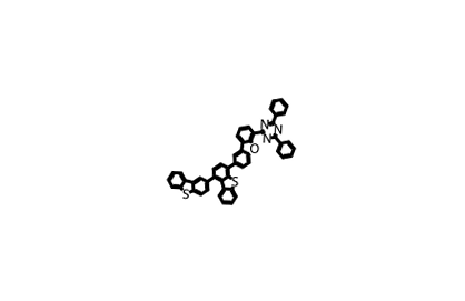 c1ccc(-c2nc(-c3ccccc3)nc(-c3cccc4c3oc3ccc(-c5ccc(-c6ccc7sc8ccccc8c7c6)c6c5sc5ccccc56)cc34)n2)cc1